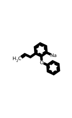 C=CCc1ccc[c]([Na])c1Oc1ccccc1